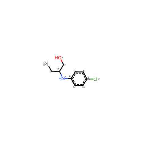 CC(C)CC(CO)Nc1ccc(Cl)cc1